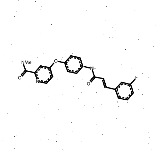 CNC(=O)c1cc(Oc2ccc(NC(=O)C=Cc3cccc(F)c3)cc2)ccn1